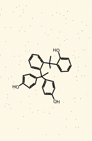 CC(C)(c1ccccc1O)c1ccccc1C(C)(c1ccc(O)cc1)c1ccc(O)cc1